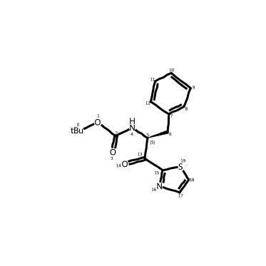 CC(C)(C)OC(=O)N[C@@H](Cc1ccccc1)C(=O)c1nccs1